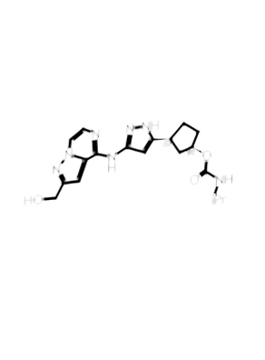 CC(C)NC(=O)O[C@@H]1CC[C@H](c2cc(Nc3nccn4nc(CO)cc34)n[nH]2)C1